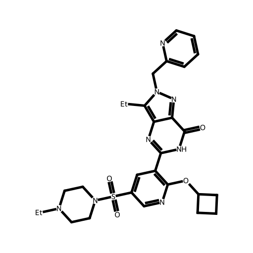 CCc1c2nc(-c3cc(S(=O)(=O)N4CCN(CC)CC4)cnc3OC3CCC3)[nH]c(=O)c2nn1Cc1ccccn1